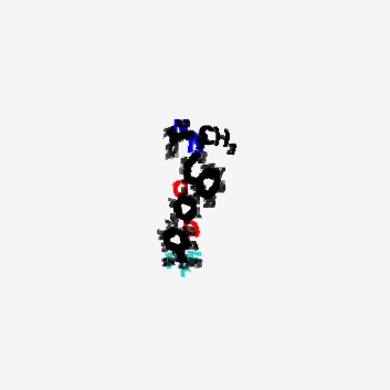 CN(CCC(Oc1ccc(Oc2cccc(C(F)(F)F)c2)cc1)c1ccccc1)C1=NC=C1